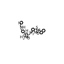 C[C@@H](c1cccc2ccccc12)N(C(N)=O)C(=S)c1cccc(CCCC(NC(=O)c2ccc(CNCc3ccccn3)cc2)C(N)=O)c1